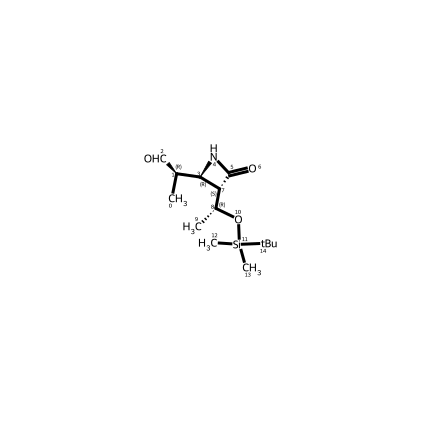 C[C@@H](C=O)[C@H]1NC(=O)[C@@H]1[C@@H](C)O[Si](C)(C)C(C)(C)C